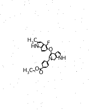 CCOC(=O)c1ccc(N2C=C(Oc3ccc4[nH]c(C)cc4c3F)c3cc[nH]c3C2)cc1